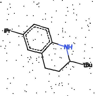 CC(C)c1ccc2c(c1)CCC(C(C)(C)C)N2